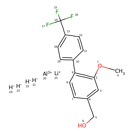 COc1cc(CO)ccc1-c1ccc(C(F)(F)F)cc1.[Al+3].[H-].[H-].[H-].[H-].[Li+]